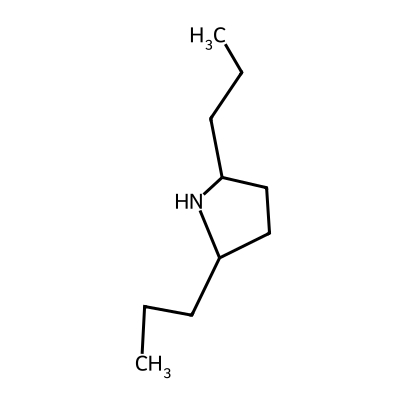 CCCC1CCC(CCC)N1